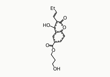 CCC=Cc1c(O)c2cc(C(=O)OCCCO)ccc2oc1=O